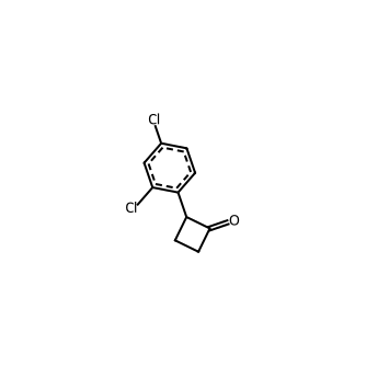 O=C1CCC1c1ccc(Cl)cc1Cl